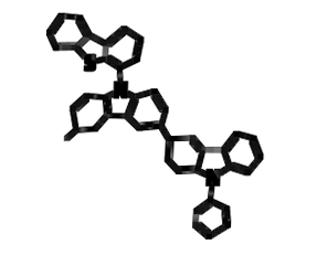 CC1C=Cc2c(c3cc(-c4ccc5c(c4)c4ccccc4n5-c4ccccc4)ccc3n2-c2cccc3c2sc2ccccc23)C1